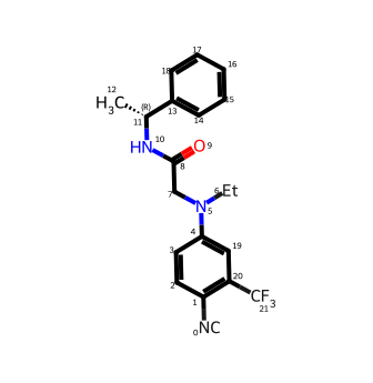 [C-]#[N+]c1ccc(N(CC)CC(=O)N[C@H](C)c2ccccc2)cc1C(F)(F)F